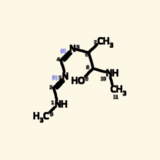 CN/C=N/C=N\C(C)C(O)NC